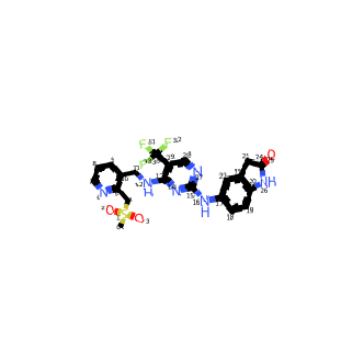 CS(=O)(=O)Cc1ncccc1CNc1nc(Nc2ccc3c(c2)CC(=O)N3)ncc1C(F)(F)F